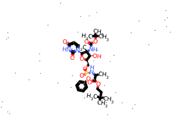 CC(NP(=O)(OC[C@H]1O[C@@H](n2ccc(=O)[nH]c2=O)[C@](C)(NC(=O)OC(C)(C)C)[C@@H]1O)Oc1ccccc1)C(=O)OCCC(C)(C)C